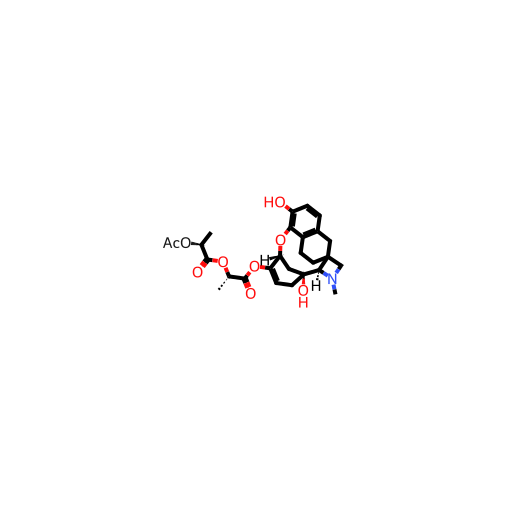 CC(=O)O[C@@H](C)C(=O)O[C@@H](C)C(=O)OC1=CC[C@]2(O)C[C@H]1Oc1c(O)ccc3c1CCC1(C3)CN(C)[C@H]12